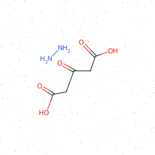 NN.O=C(O)CC(=O)CC(=O)O